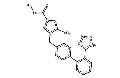 CCCCc1cc(C(=O)OC(C)C)nn1Cc1ccc(-c2ccccc2-c2nnn[nH]2)cc1